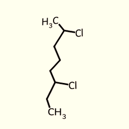 CCC(Cl)CCCC(C)Cl